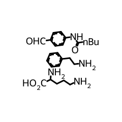 CCCCC(=O)Nc1ccc(C=O)cc1.NCCCC(N)C(=O)O.NCCc1ccccc1